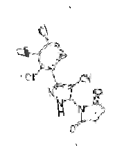 N#Cc1c(-c2ccc(Cl)c(Cl)c2Cl)n[nH]c1N1C(=O)CCC1=O